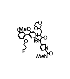 CNC(=O)c1ccc(NC(=O)C(CC2COCCO2)n2cc(OC)c(-c3cc(Cl)ccc3OCCF)cc2=O)cn1